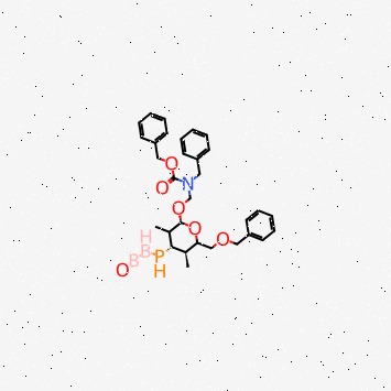 CC1[C@@H](OCN(Cc2ccccc2)C(=O)OCc2ccccc2)OC(COCc2ccccc2)[C@@H](C)[C@@H]1PBB=O